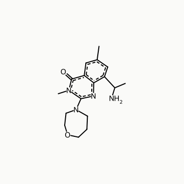 Cc1cc(C(C)N)c2nc(N3CCCOCC3)n(C)c(=O)c2c1